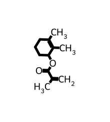 C=C(C)C(=O)OC1CCCC(C)=C1C